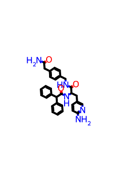 NC(=O)Cc1ccc(CNC(=O)C(Cc2ccc(N)nc2)NC(=O)C(c2ccccc2)c2ccccc2)cc1